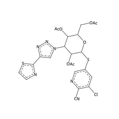 CC(=O)OCC1OC(Sc2cnc(C#N)c(Cl)c2)C(OC(C)=O)C(n2cc(-c3nccs3)nn2)C1OC(C)=O